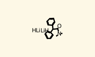 CN(C)C(=O)C(c1ccccc1)c1ccccc1.[LiH].[LiH]